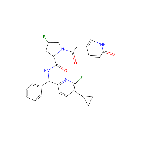 O=C(NC(c1ccccc1)c1ccc(C2CC2)c(F)n1)C1CC(F)CN1C(=O)Cc1ccc(=O)[nH]c1